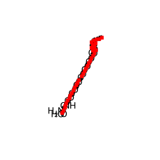 CC(C)CCC[C@@H](C)[C@H]1CCC2C3CC=C4CC(OC(=O)CCOCCOCCOCCOCCOCCOCCOCCOCCOCCOCCOCCOCCNC(=O)CSC[C@H](N)C(=O)O)CC[C@]4(C)C3CC[C@@]21C